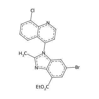 CCOC(=O)c1cc(Br)cc2c1nc(C)n2-c1ccnc2c(Cl)cccc12